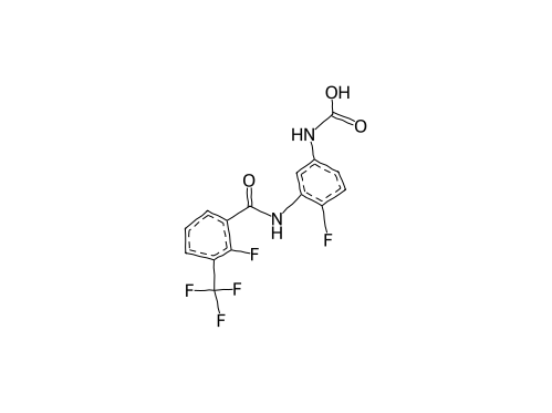 O=C(O)Nc1ccc(F)c(NC(=O)c2cccc(C(F)(F)F)c2F)c1